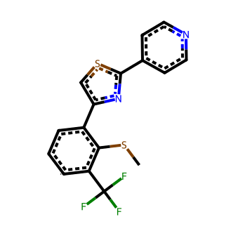 CSc1c(C(F)(F)F)[c]ccc1-c1csc(-c2ccncc2)n1